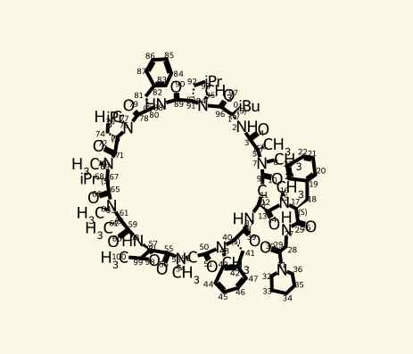 CC[C@H](C)[C@@H]1NC(=O)[C@H](C)N(C)C(=O)C[C@@H](C(=O)N(C)[C@@H](Cc2ccccc2)C(=O)NCC(=O)N2CCCCC2)NC(=O)[C@H](Cc2ccccc2)N(C)C(=O)CN(C)C(=O)[C@]2(NC(=O)[C@H](C)N(C)C(=O)[C@H](C(C)C)N(C)C(=O)[C@H](CC(C)C)N(C)C(=O)[C@H](Cc3ccccc3)NC(=O)[C@H](CC(C)C)N(C)C1=O)OC2C